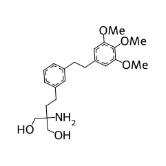 COc1cc(CCc2cccc(CCC(N)(CO)CO)c2)cc(OC)c1OC